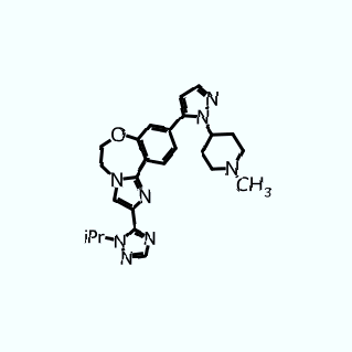 CC(C)n1ncnc1-c1cn2c(n1)-c1ccc(-c3ccnn3C3CCN(C)CC3)cc1OCC2